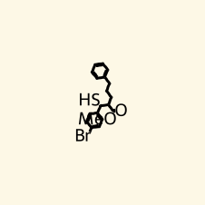 COC(=O)C(CCCc1ccccc1)C(S)c1ccc(Br)cc1